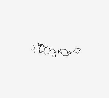 CC(C)(C)c1ncc2c(n1)CCN(CC(=O)N1CCN(C3CCC3)CC1)C2